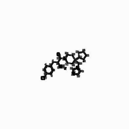 NC(Cc1ccc(Cl)cc1)C(=O)N1CCC(Cn2ccnc2)(C2CCCC2)CC1